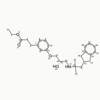 CCOC(=O)CCc1cccc(OC[C@@H](O)CNC(C)(C)CC2Cc3ccccc3C2)c1